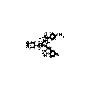 Cc1ccc(-c2nc([C@H](CC(=O)N3CCS(=O)(=O)CC3)NC(=O)/C=C/c3cc(Cl)ccc3-n3cnnn3)[nH]c2Cl)cc1